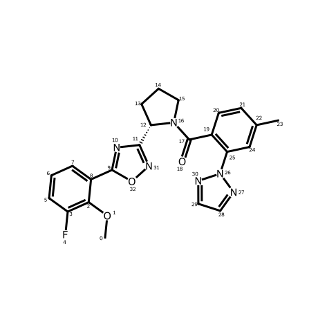 COc1c(F)cccc1-c1nc([C@@H]2CCCN2C(=O)c2ccc(C)cc2-n2nccn2)no1